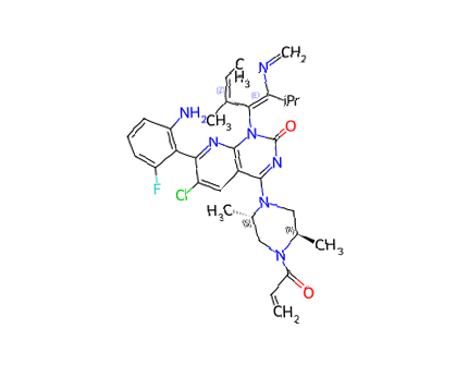 C=CC(=O)N1C[C@H](C)N(c2nc(=O)n(C(/C(C)=C\C)=C(/N=C)C(C)C)c3nc(-c4c(N)cccc4F)c(Cl)cc23)C[C@H]1C